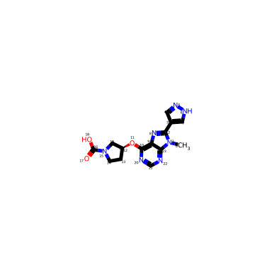 Cn1c(-c2cn[nH]c2)nc2c(O[C@H]3CCN(C(=O)O)C3)ncnc21